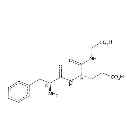 N[C@@H](Cc1ccccc1)C(=O)N[C@@H](CCC(=O)O)C(=O)NCC(=O)O